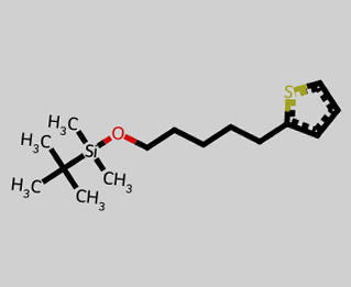 CC(C)(C)[Si](C)(C)OCCCCCc1cccs1